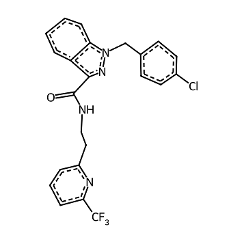 O=C(NCCc1cccc(C(F)(F)F)n1)c1nn(Cc2ccc(Cl)cc2)c2ccccc12